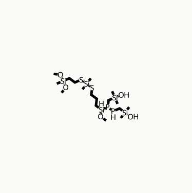 CO[SiH](CCCS[Si](C)(C)SCC[Si](C)(OC)OC)P(C[Si](C)(C)O)PC[Si](C)(C)O